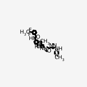 Cc1ccc(NC(=O)c2cccc(C(C)(F)F)c2)cc1N(C)c1cc(N2CCOC(c3cc(NN4CCN(C)CC4)ncn3)C2)n[nH]1